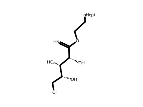 CCCCCCCCCOC(=N)[C@H](O)[C@@H](O)[C@H](O)CO